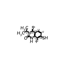 CC(C)n1c(=O)[nH]c2c(F)c(S)ccc2c1=S